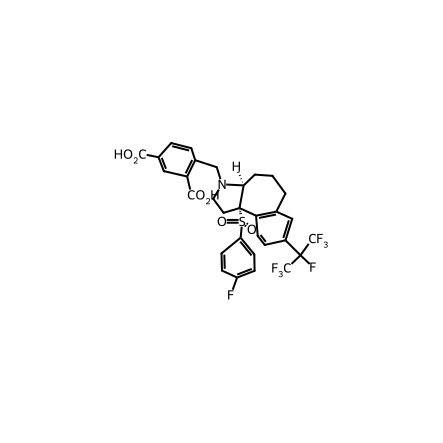 O=C(O)c1ccc(CN2CC[C@]3(S(=O)(=O)c4ccc(F)cc4)c4ccc(C(F)(C(F)(F)F)C(F)(F)F)cc4CCC[C@H]23)c(C(=O)O)c1